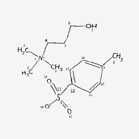 C[N+](C)(C)CCCO.Cc1ccc(S(=O)(=O)[O-])cc1